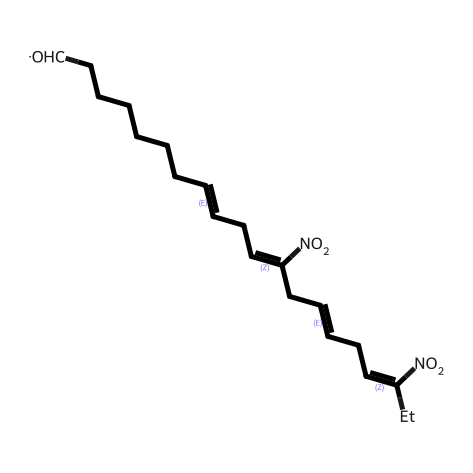 CC/C(=C/C/C=C/C/C(=C/C/C=C/CCCCCC[C]=O)[N+](=O)[O-])[N+](=O)[O-]